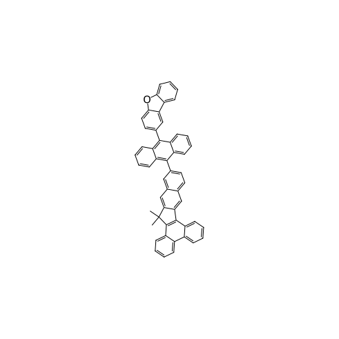 CC1(C)c2cc3cc(-c4c5ccccc5c(-c5ccc6oc7ccccc7c6c5)c5ccccc45)ccc3cc2-c2c1c1ccccc1c1ccccc21